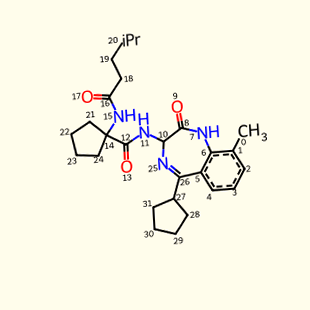 Cc1cccc2c1NC(=O)C(NC(=O)C1(NC(=O)CCC(C)C)CCCC1)N=C2C1CCCC1